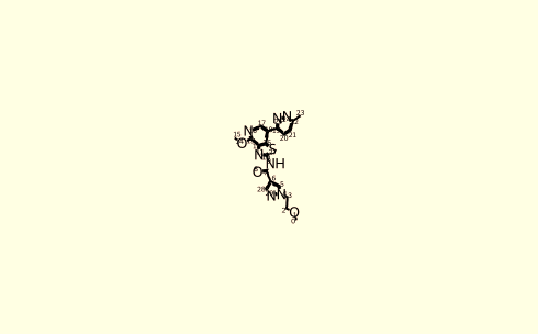 COCCn1cc(C(=O)Nc2nc3c(OC)ncc(-c4ccc(C)nn4)c3s2)cn1